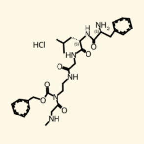 CNCC(=O)N(CCNC(=O)CNC(=O)[C@H](CC(C)C)NC(=O)[C@@H](N)Cc1ccccc1)C(=O)OCc1ccccc1.Cl